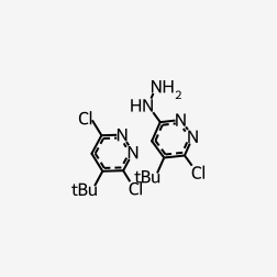 CC(C)(C)c1cc(Cl)nnc1Cl.CC(C)(C)c1cc(NN)nnc1Cl